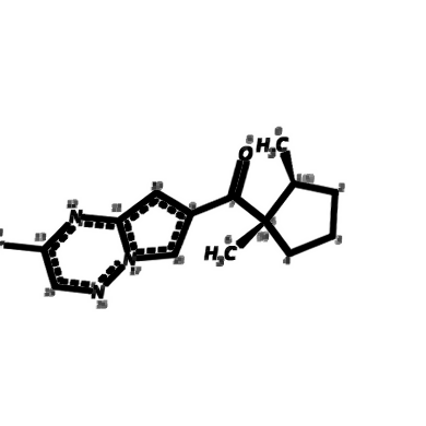 C[C@H]1CCC[C@]1(C)C(=O)c1cc2nc(Br)cnn2c1